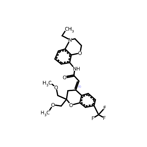 CCN1CCOc2c(NC(=O)/C=C3\CC(COC)(COC)Oc4cc(C(F)(F)F)ccc43)cccc21